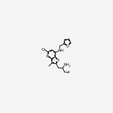 Cc1c(CC(N)CF)sc2c(NCc3ccco3)cc(Cl)nc12